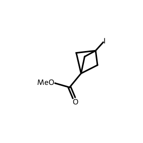 COC(=O)C12CC(I)(C1)C2